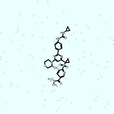 C[C@H]1COCCN1c1cc(C2(S(=O)(=O)c3ccc(C(=O)N(C)C)cn3)CC2)nc(-c2ccc(NC(=O)NC3CC3)cc2)n1